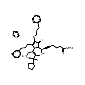 COC(=O)CCCC#CC(O)C1C(=O)C(SCCCc2ccccc2)=C(CCCc2ccccc2)C1C(O[SiH3])=C(C)C(C)(C1CCCC1)C(C)(C)C.c1ccsc1